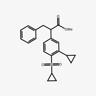 COC(=O)C(Cc1ccccc1)c1ccc(S(=O)(=O)C2CC2)c(C2CC2)c1